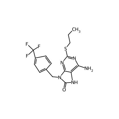 CCCSc1nc(N)c2[nH]c(=O)n(Cc3ccc(C(F)(F)F)cc3)c2n1